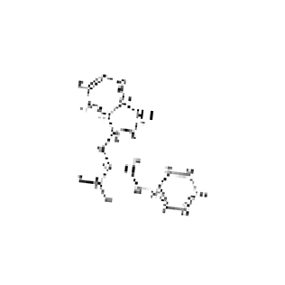 CN(C)C(Cc1c[nH]c2ccccc12)OCc1ccccc1